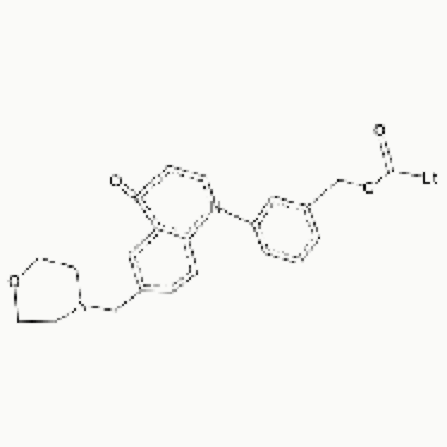 CCC(=O)OCc1cccc(-n2ccc(=O)c3cc(CN4CCOCC4)ccc32)c1